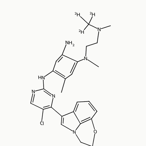 [2H]C([2H])([2H])N(C)CCN(C)c1cc(C)c(Nc2ncc(Cl)c(-c3cn4c5c(cccc35)OCC4)n2)cc1N